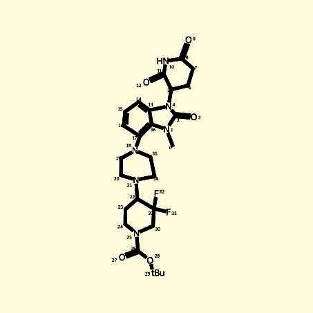 Cn1c(=O)n(C2CCC(=O)NC2=O)c2cccc(N3CCN(C4CCN(C(=O)OC(C)(C)C)CC4(F)F)CC3)c21